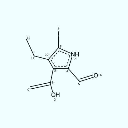 C=C(O)c1c(C=O)[nH]c(I)c1CC